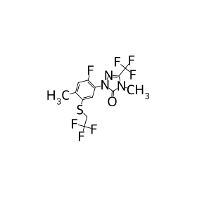 Cc1cc(F)c(-n2nc(C(F)(F)F)n(C)c2=O)cc1SCC(F)(F)F